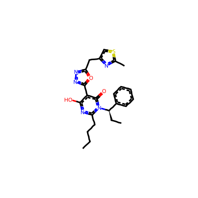 CCCCc1nc(O)c(-c2nnc(Cc3csc(C)n3)o2)c(=O)n1[C@H](CC)c1ccccc1